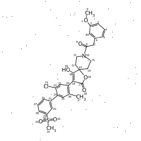 COc1cccc(CC(=O)N2CCC3(CC2)OC(=O)C(c2cc(Cl)c(-c4cccc(S(C)(=O)=O)c4)cc2C)=C3O)c1